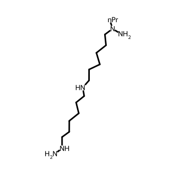 CCCN(N)CCCCCCNCCCCCCNN